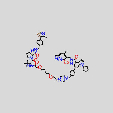 Cc1cc(C)c(CNC(=O)c2cc(-c3ccc(CN4CCN(CCOCCCCOCC(=O)NC(C(=O)N5CCC[C@H]5C(=O)NCc5ccc(-c6scnc6C)cc5)C(C)(C)C)CC4)cc3)cc3c2ccn3C2CCCC2)c(=O)[nH]1